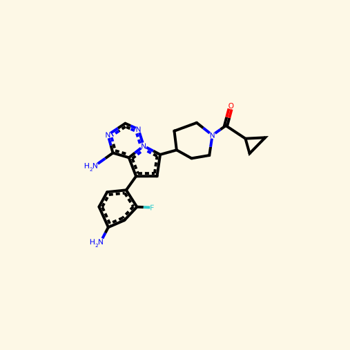 Nc1ccc(-c2cc(C3CCN(C(=O)C4CC4)CC3)n3ncnc(N)c23)c(F)c1